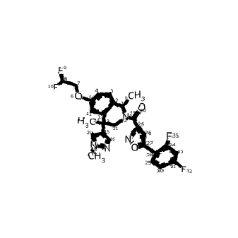 CC1c2ccc(OCC(F)F)cc2C(C)(c2cnn(C)c2)CN1C(=O)c1cc(-c2ccc(F)cc2F)on1